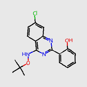 CC(C)(C)ONc1nc(-c2ccccc2O)nc2cc(Cl)ccc12